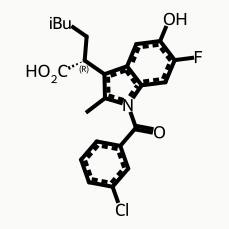 CCC(C)C[C@@H](C(=O)O)c1c(C)n(C(=O)c2cccc(Cl)c2)c2cc(F)c(O)cc12